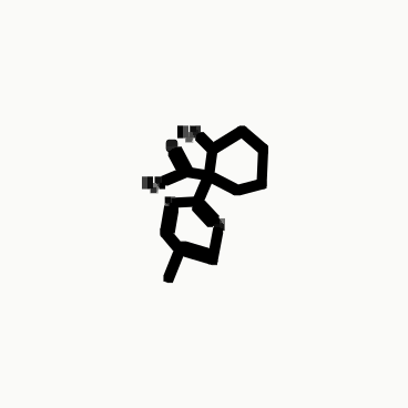 Cc1cnc(C2(C(N)=O)CCCCC2N)nc1